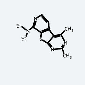 CCN(CC)c1nccc2c1sc1nc(C)nc(C)c12